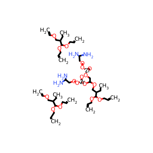 C=CCOC(OCC=C)C(CC)COC(C[O][Zr](=[O])[O]OCC(N)N)[O][Zr](=[O])[O]OCC(N)N.C=CCOC(OCC=C)C(CC)COC=C.C=CCOC(OCC=C)C(CC)COC=C